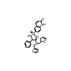 O=C(C(NS(=O)(=O)c1ccc2[nH]c(=O)ccc2c1)c1ccccc1)N(Cc1cccs1)CC1CC=CO1